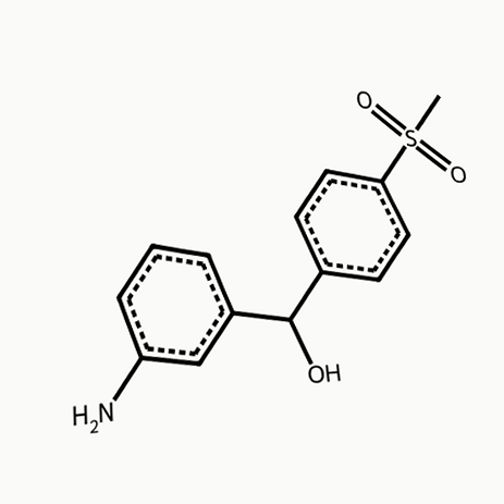 CS(=O)(=O)c1ccc(C(O)c2cccc(N)c2)cc1